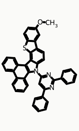 COc1ccc2sc3c(ccc4c3c3c5ccccc5c5ccccc5c3n4-c3cc(-c4ccccc4)nc(-c4ccccc4)n3)c2c1